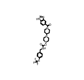 O=C(NCc1ccc(SC(F)(F)F)cc1)ON1CCN(C2CCN(C(=O)c3ccc4[nH]nnc4c3)CC2)CC1